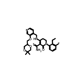 CCc1c(F)cccc1N1CCC(NCc2ccncc2OCC2COC(C)(C)CO2)=C(C(N)=S)C1=O